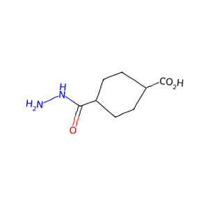 NNC(=O)C1CCC(C(=O)O)CC1